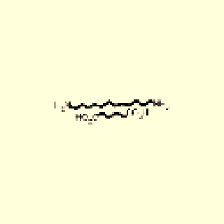 NCCCCCCCCCCCCN.O=C(O)CCCCC(=O)O